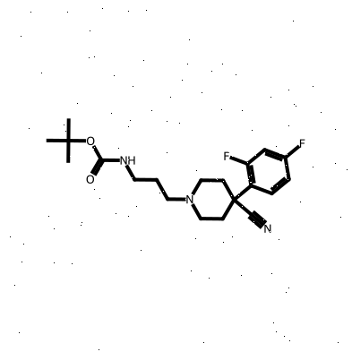 CC(C)(C)OC(=O)NCCCN1CCC(C#N)(c2ccc(F)cc2F)CC1